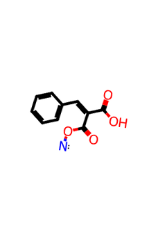 [N]OC(=O)C(=Cc1ccccc1)C(=O)O